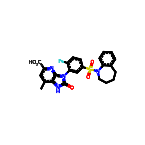 Cc1cc(C(=O)O)nc2c1[nH]c(=O)n2-c1cc(S(=O)(=O)N2CCCCc3ccccc32)ccc1F